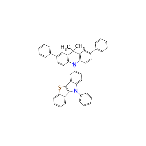 CC1(C)c2cc(-c3ccccc3)ccc2N(c2ccc3c(c2)c2sc4ccccc4c2n3-c2ccccc2)c2ccc(-c3ccccc3)cc21